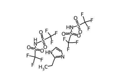 CCc1ncc[nH]1.O=S(=O)(NS(=O)(=O)C(F)(F)F)C(F)(F)F.O=S(=O)(NS(=O)(=O)C(F)(F)F)C(F)(F)F